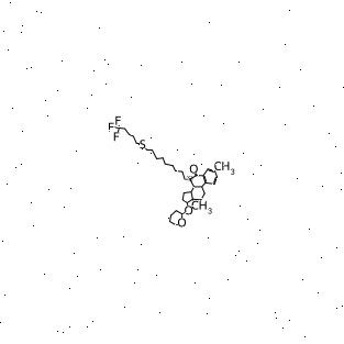 Cc1ccc2c(c1)C(=O)[C@@H](CCCCCCCCCSCCCCC(F)(F)F)C1C2CCC2(C)C(OC3CCCCO3)CCC12